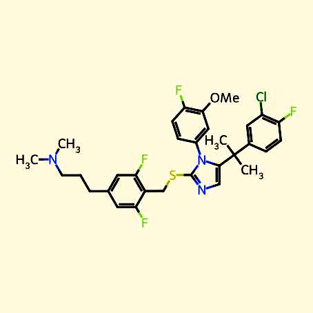 COc1cc(-n2c(C(C)(C)c3ccc(F)c(Cl)c3)cnc2SCc2c(F)cc(CCCN(C)C)cc2F)ccc1F